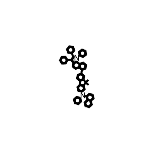 CC1(C)c2cc(-c3cccc4c3ccc3c(-c5ccccc5)c(-c5ccccc5)n(-c5ccccc5)c34)ccc2-c2ccc(N(c3ccccc3)c3cccc4ccccc34)cc21